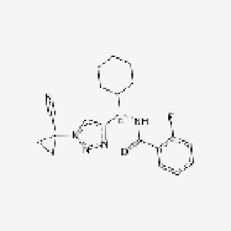 N#CC1(n2cc([C@@H](NC(=O)c3ccccc3F)C3CCCCC3)nn2)CC1